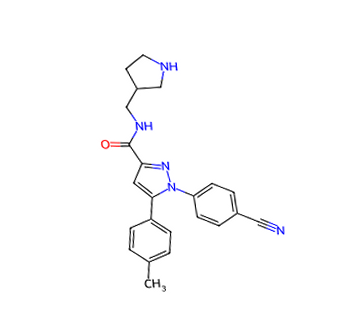 Cc1ccc(-c2cc(C(=O)NCC3CCNC3)nn2-c2ccc(C#N)cc2)cc1